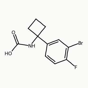 O=C(O)NC1(c2ccc(F)c(Br)c2)CCC1